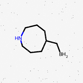 BCC1CCCNCCC1